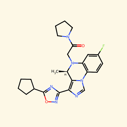 C[C@@H]1c2c(-c3noc(C4CCCC4)n3)ncn2-c2ccc(F)cc2N1CC(=O)N1CCCC1